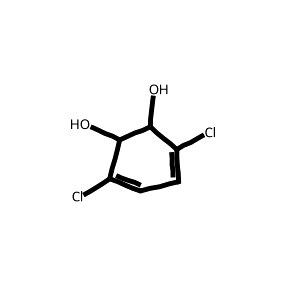 OC1C(Cl)=CC=C(Cl)C1O